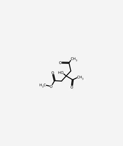 COC(=O)CC(O)(CC(C)=O)C(C)=O